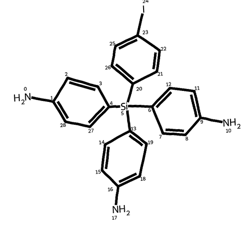 Nc1ccc([Si](c2ccc(N)cc2)(c2ccc(N)cc2)c2ccc(I)cc2)cc1